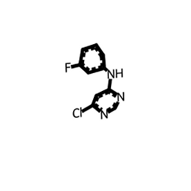 Fc1cccc(Nc2cc(Cl)ncn2)c1